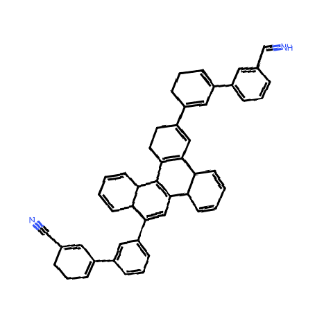 N#CC1=CC(c2cccc(C3=CC4=C(C5=C(C=C(C6=CC(c7cccc(C=N)c7)=CCC6)CC5)C5C=CC=CC45)C4C=CC=CC34)c2)=CCC1